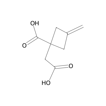 C=C1CC(CC(=O)O)(C(=O)O)C1